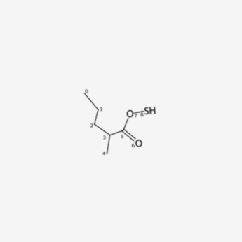 CCCC(C)C(=O)OS